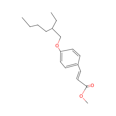 CCCCC(CC)COc1ccc(C=CC(=O)OC)cc1